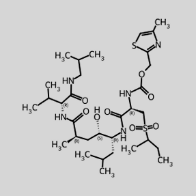 CCC(C)S(=O)(=O)C[C@H](NC(=O)OCc1nc(C)cs1)C(=O)N[C@H](CC(C)C)[C@@H](O)C[C@@H](C)C(=O)N[C@@H](C(=O)NCC(C)C)C(C)C